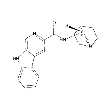 O=C(N[C@H]1CN2CCC1CC2)c1cc2c(cn1)[nH]c1ccccc12